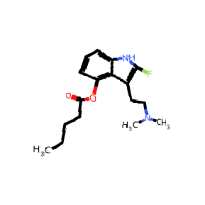 CCCCC(=O)Oc1cccc2[nH]c(F)c(CCN(C)C)c12